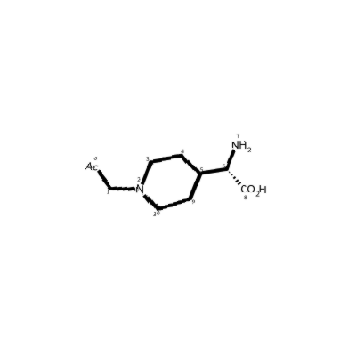 CC(=O)CN1CCC([C@H](N)C(=O)O)CC1